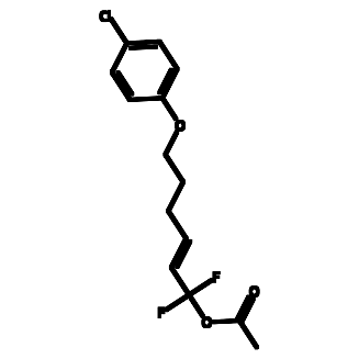 CC(=O)OC(F)(F)/C=C/CCCOc1ccc(Cl)cc1